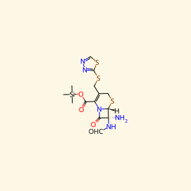 C[Si](C)(C)OC(=O)C1=C(CSc2nncs2)CS[C@H]2N1C(=O)[C@]2(N)NC=O